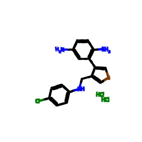 Cl.Cl.Nc1ccc(N)c(-c2cscc2CNc2ccc(Cl)cc2)c1